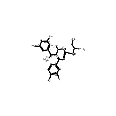 CC[C@@H](C)N/C(=N/C(=O)c1ccc(Cl)c(F)c1)NC(N)CC(C)c1cc(F)cc(F)c1